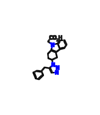 O=C(O)Cn1c2c(c3ccccc31)CC(n1nncc1Cc1ccccc1)CC2